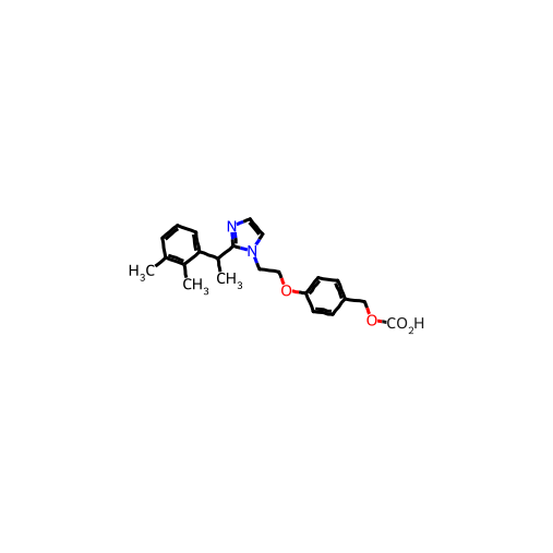 Cc1cccc(C(C)c2nccn2CCOc2ccc(COC(=O)O)cc2)c1C